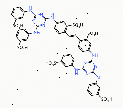 O=S(=O)(O)c1cccc(Nc2nc(Nc3cccc(S(=O)(=O)O)c3)nc(Nc3ccc(/C=C/c4ccc(Nc5nc(Nc6cccc(S(=O)(=O)O)c6)nc(Nc6cccc(S(=O)(=O)O)c6)n5)cc4S(=O)(=O)O)c(S(=O)(=O)O)c3)n2)c1